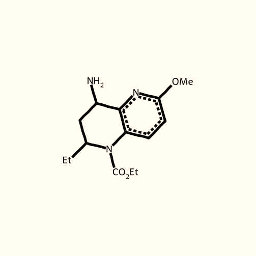 CCOC(=O)N1c2ccc(OC)nc2C(N)CC1CC